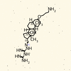 C[C@]12CC[C@H](OCCCN)C[C@H]1CC[C@@H]1[C@@H]2CC[C@]2(C)[C@@H](/C=N/NC(=N)NC(=N)N)CC[C@]12O